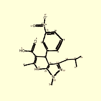 CC1=C(C(=O)O)C(c2cccc([N+](=O)[O-])c2)c2c(CC(C)C)nn(C)c2N1